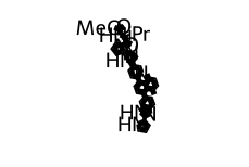 COC(=O)N[C@H](C(=O)N1CCC[C@H]1c1ncc(-c2ccc(-c3ccc(-c4ccc5nc([C@@H]6CCCN6)[nH]c5c4)c4c(C)ccc(C)c34)nc2)[nH]1)C(C)C